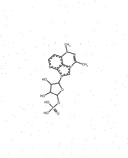 CC1=NN(C)c2ccnc3c2[n+]1cn3C1OC(OP(=O)(O)O)C(O)C1O